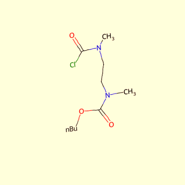 CCCCOC(=O)N(C)CCN(C)C(=O)Cl